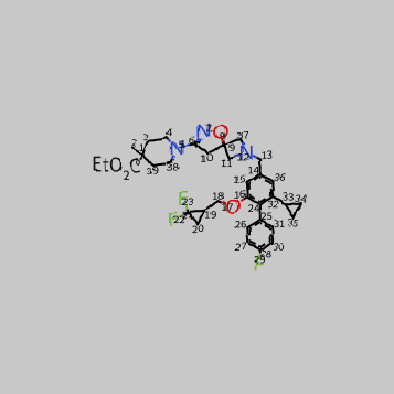 CCOC(=O)C1(C)CCN(C2=NOC3(C2)CN(Cc2cc(OCC4CC4(F)F)c(-c4ccc(F)cc4)c(C4CC4)c2)C3)CC1